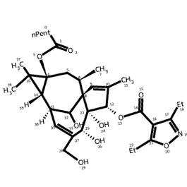 CCCCCC(=O)O[C@@]12C[C@@H](C)[C@]34C=C(C)[C@H](OC(=O)c5c(CC)noc5CC)[C@@]3(O)[C@H](O)C(CO)=C[C@H](C4O)[C@@H]1C2(C)C